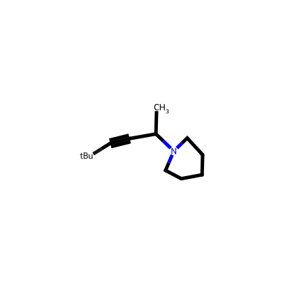 CC(C#CC(C)(C)C)N1CCCCC1